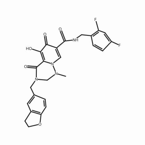 CN1CN(Cc2ccc3c(c2)CCO3)C(=O)c2c(O)c(=O)c(C(=O)NCc3ccc(F)cc3F)cn21